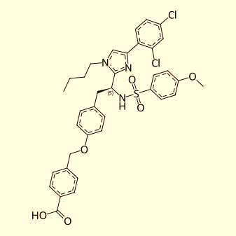 CCCCn1cc(-c2ccc(Cl)cc2Cl)nc1[C@H](Cc1ccc(OCc2ccc(C(=O)O)cc2)cc1)NS(=O)(=O)c1ccc(OC)cc1